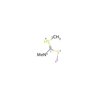 CN/C(SI)=[SH]/C